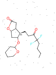 CCCCC(F)(F)C(=O)CC[C@H]1C(OC2CCCCO2)CC2OC(=O)CC21